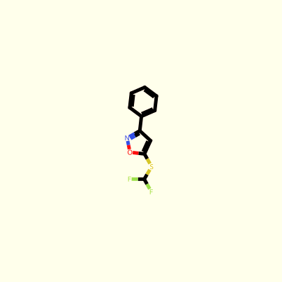 FC(F)Sc1cc(-c2ccccc2)no1